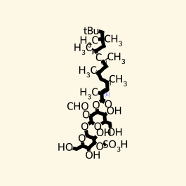 C/C(=C\[C@@H](C)C[C@@H](C)C[C@@H](C)C[C@@H](C)CC(C)(C)CC(C)(C)C)C(=O)OC1C(O)C(CO)OC(OC2OC(CO)C(O)C(OS(=O)(=O)O)C2O)C1OC=O